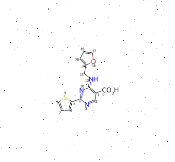 O=C(O)c1cnc(-c2cccs2)nc1NCc1ccco1